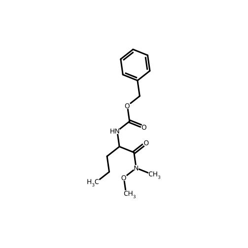 CCCC(NC(=O)OCc1ccccc1)C(=O)N(C)OC